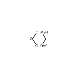 CNCC=O.[Cl][Zr][Cl]